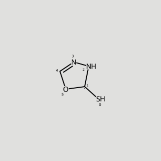 S[C]1NN=CO1